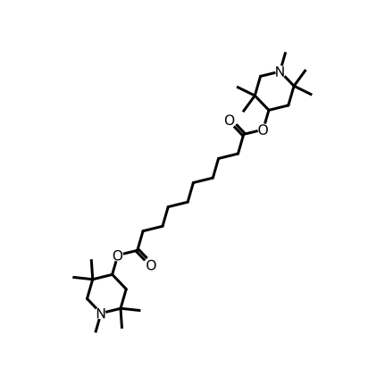 CN1CC(C)(C)C(OC(=O)CCCCCCCCC(=O)OC2CC(C)(C)N(C)CC2(C)C)CC1(C)C